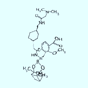 COc1c(C[C@H](NC(=O)C[C@H]2CC[C@H](CNC(=O)CN(C)C)CC2)B2OC3CC4CC(C4(C)C)C3(C)O2)cccc1C(=O)O